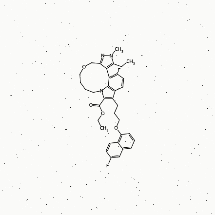 CCOC(=O)c1c(CCCOc2cccc3cc(F)ccc23)c2ccc(F)c3c2n1CCCCOCc1nn(C)c(CC)c1-3